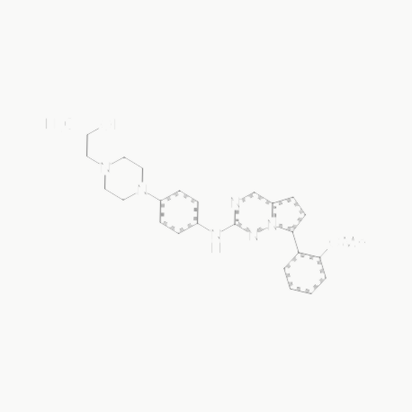 COc1ccccc1-c1ccc2cnc(Nc3ccc(N4CCN(C[C@H](C)O)CC4)cc3)nn12